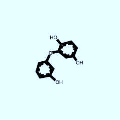 Oc1cccc(Oc2cc(O)ccc2O)c1